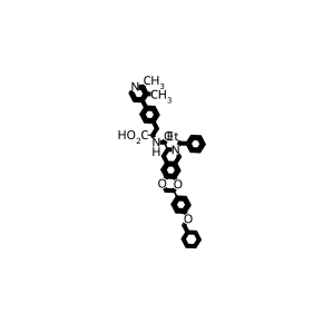 CC[C@@H](c1ccccc1)N1Cc2cc3c(cc2C[C@H]1C(=O)N[C@@H](Cc1ccc(-c2ccnc(C)c2C)cc1)C(=O)O)OC[C@H](c1ccc(OCC2CCCCC2)cc1)O3